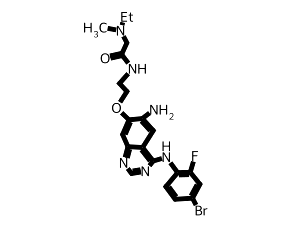 CCN(C)CC(=O)NCCOc1cc2ncnc(Nc3ccc(Br)cc3F)c2cc1N